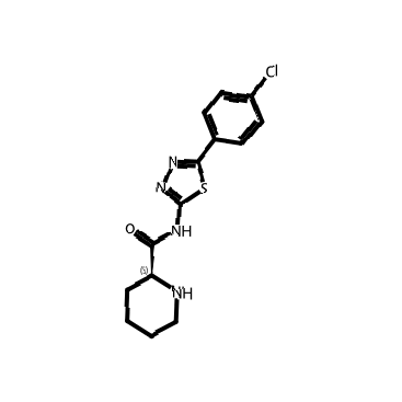 O=C(Nc1nnc(-c2ccc(Cl)cc2)s1)[C@@H]1CCCCN1